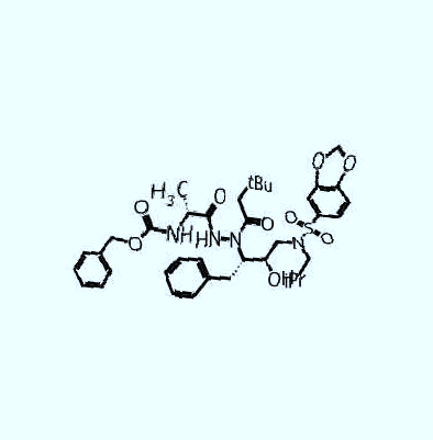 CC(C)CN(C[C@@H](O)[C@H](Cc1ccccc1)N(NC(=O)[C@@H](C)NC(=O)OCc1ccccc1)C(=O)CC(C)(C)C)S(=O)(=O)c1ccc2c(c1)OCO2